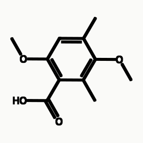 COc1cc(C)c(OC)c(C)c1C(=O)O